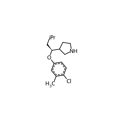 Cc1cc(O[C@@H](CC(C)C)C2CCNC2)ccc1Cl